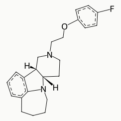 Fc1ccc(OCCN2CC[C@H]3[C@@H](C2)c2cccc4c2N3CCCC4)cc1